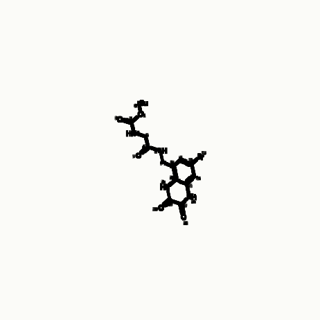 CC(C)(C)OC(=O)NCC(=O)NCc1cc(Br)cc2[nH]c(=O)c(=O)[nH]c12